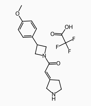 COc1ccc(C2CN(C(=O)C=C3CCNC3)C2)cc1.O=C(O)C(F)(F)F